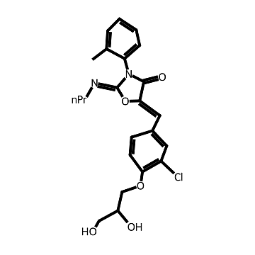 CCC/N=C1\O/C(=C\c2ccc(OCC(O)CO)c(Cl)c2)C(=O)N1c1ccccc1C